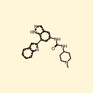 CN1CCC(NC(=O)Nc2cc(-c3cc4ccccc4s3)c3[nH]ncc3c2)CC1